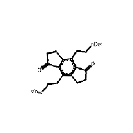 CCCCCCCCCCCCc1c2c(c(CCCCCCCCCCCC)c3c1C(=O)CC3)C(=O)CC2